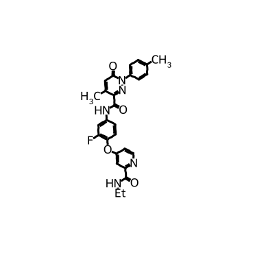 CCNC(=O)c1cc(Oc2ccc(NC(=O)c3nn(-c4ccc(C)cc4)c(=O)cc3C)cc2F)ccn1